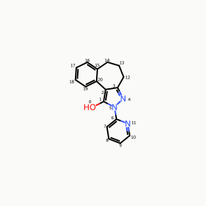 Oc1c2c(nn1-c1ccccn1)CCCc1ccccc1-2